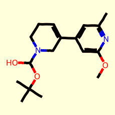 COc1cc(C2=CCCN(C(O)OC(C)(C)C)C2)cc(C)n1